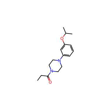 CCC(=O)N1CCN(c2cccc(OC(C)C)c2)CC1